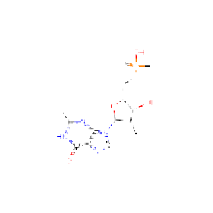 C=P(C)(O)CC[C@H]1OC(n2cnc3c(=O)[nH]c(C)nc32)[C@H](C)[C@@H]1O